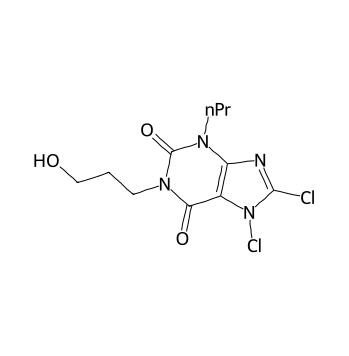 CCCn1c(=O)n(CCCO)c(=O)c2c1nc(Cl)n2Cl